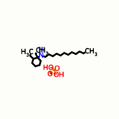 CCCCCCCCCCCCNC1(CC)CCCCC1CC.O=S(=O)(O)O